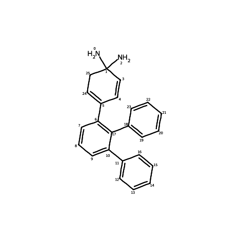 NC1(N)C=CC(c2cccc(-c3ccccc3)c2-c2ccccc2)=CC1